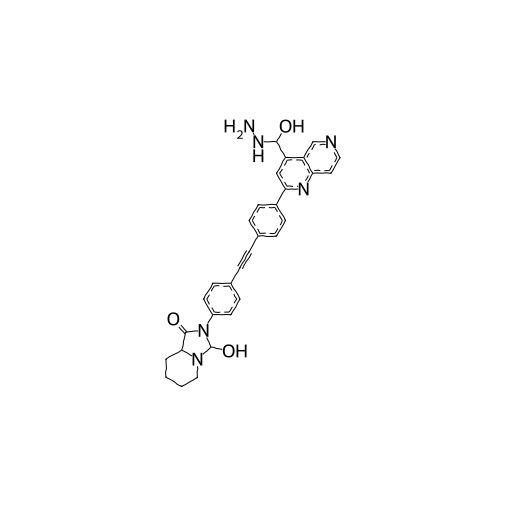 NNC(O)c1cc(-c2ccc(C#Cc3ccc(N4C(=O)C5CCCCN5C4O)cc3)cc2)nc2ccncc12